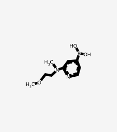 COCCN(C)c1cc(B(O)O)ccn1